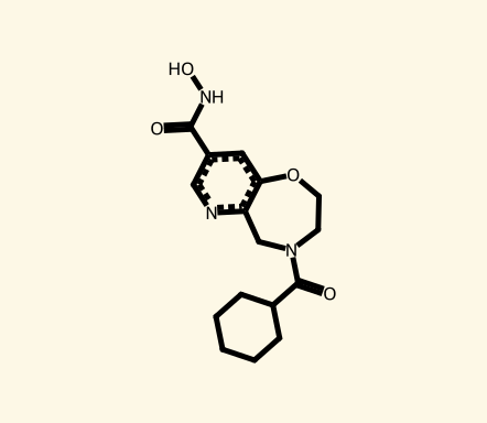 O=C(NO)c1cnc2c(c1)OCCN(C(=O)C1CCCCC1)C2